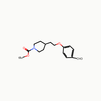 CC(C)(C)OC(=O)N1CCC(CCOc2ccc(C=O)cc2)CC1